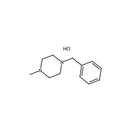 CN1CCN(Cc2ccccc2)CC1.Cl